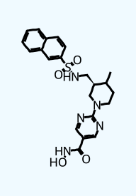 CC1CCN(c2ncc(C(=O)NO)cn2)C[C@H]1CNS(=O)(=O)c1ccc2ccccc2c1